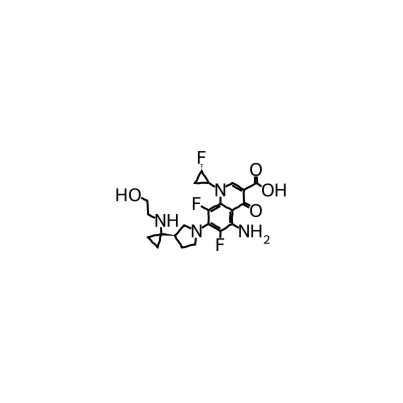 Nc1c(F)c(N2CC[C@@H](C3(NCCO)CC3)C2)c(F)c2c1c(=O)c(C(=O)O)cn2C1C[C@@H]1F